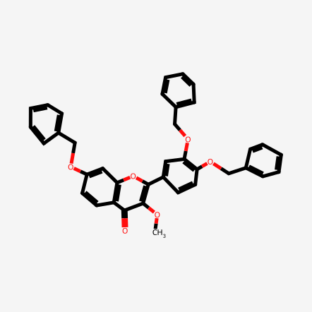 COc1c(-c2ccc(OCc3ccccc3)c(OCc3ccccc3)c2)oc2cc(OCc3ccccc3)ccc2c1=O